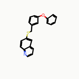 c1ccc(Oc2cccc(CSc3ccc4ncccc4c3)c2)cc1